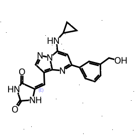 O=C1NC(=O)/C(=C\c2cnn3c(NC4CC4)cc(-c4cccc(CO)c4)nc23)N1